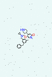 Cc1cc(Cc2ccccc2)cc(CN(C(=O)[C@@H]2CNCC[C@H]2c2ccn(C)c(=O)c2)C2CC2)c1